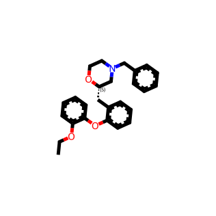 CCOc1ccccc1Oc1ccccc1C[C@H]1CN(Cc2ccccc2)CCO1